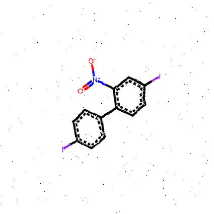 O=[N+]([O-])c1cc(I)ccc1-c1ccc(I)cc1